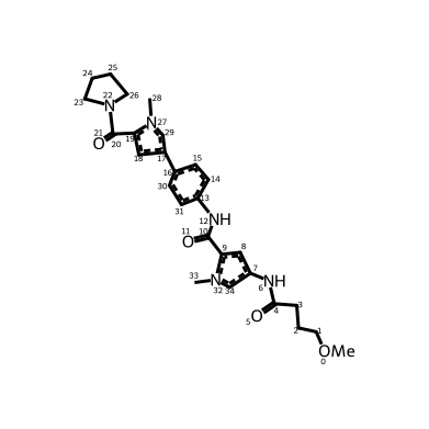 COCCCC(=O)Nc1cc(C(=O)Nc2ccc(-c3cc(C(=O)N4CCCC4)n(C)c3)cc2)n(C)c1